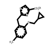 CCOC(=O)c1csc(Cc2cc(C(F)(F)F)ccc2OCC2CC2)n1